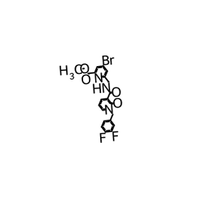 COC(=O)c1cc(Br)cc(CNC(=O)c2cccn(Cc3ccc(F)c(F)c3)c2=O)n1